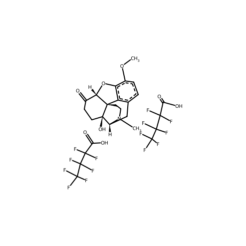 COc1ccc2c3c1O[C@H]1C(=O)CC[C@@]4(O)[C@@H](C2)N(C)CC[C@]314.O=C(O)C(F)(F)C(F)(F)C(F)(F)F.O=C(O)C(F)(F)C(F)(F)C(F)(F)F